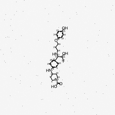 O=C(O)N1CCC(Nc2ccc(C(NCCCOc3ccc(O)cc3)[C@@H](O)F)cc2)CC1